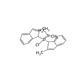 CC1=Cc2ccccc2[CH]1[Zr]([Cl])([CH]1C(C)=Cc2ccccc21)=[Si](C)C